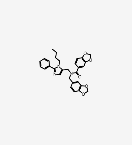 CCCCn1c(CN(Cc2ccc3c(c2)OCO3)C(=O)c2ccc3c(c2)OCO3)cnc1-c1ccccc1